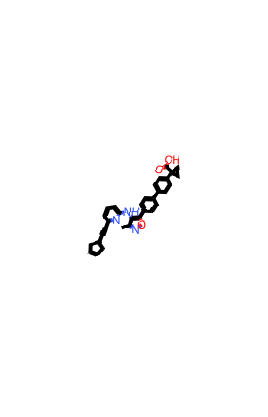 Cc1noc(-c2ccc(-c3ccc(C4(C(=O)O)CC4)cc3)cc2)c1Nc1cccc(C#CC2CCCC2)n1